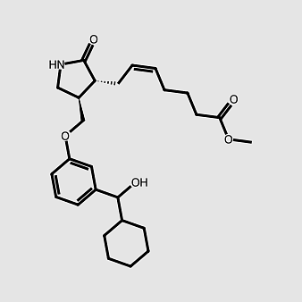 COC(=O)CCC/C=C\C[C@H]1C(=O)NC[C@@H]1COc1cccc(C(O)C2CCCCC2)c1